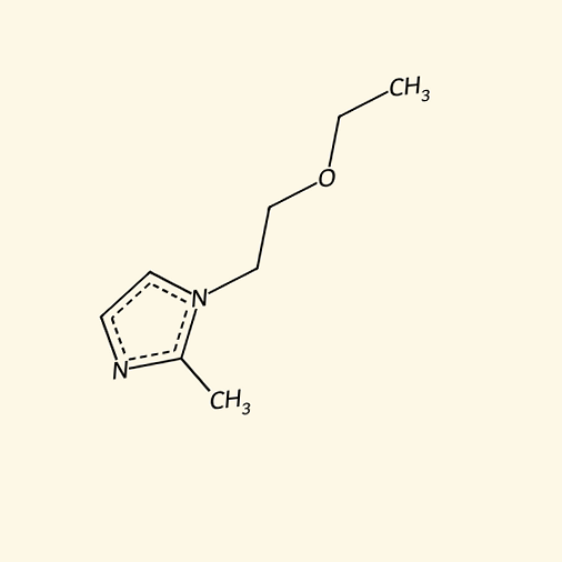 CCOCCn1ccnc1C